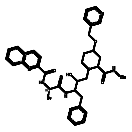 CC(C)[C@H](NC(=O)c1ccc2ccccc2n1)C(=O)NC(Cc1ccccc1)C(O)CN1CCC(OCc2cccnc2)CC1C(=O)NC(C)(C)C